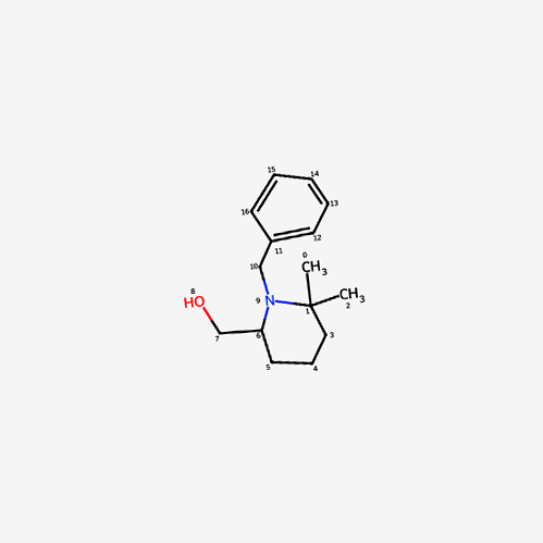 CC1(C)CCCC(CO)N1Cc1ccccc1